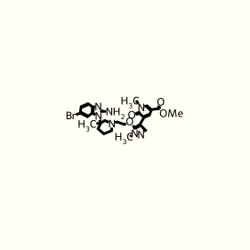 COC(=O)c1cc(-c2cnn(C)c2OCCN2CCCC(C)(n3c(N)nc4ccc(Br)cc43)C2)c(=O)n(C)c1